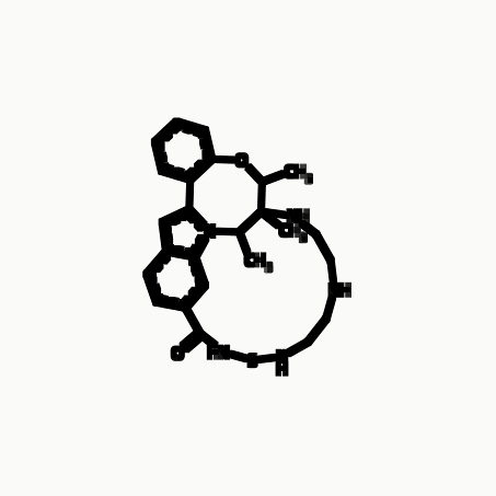 CC1Oc2ccccc2-c2cc3ccc4cc3n2C(C)C1(C)NCCNCCNSNC4=O